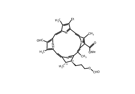 CCC1=C(C)c2cc3[nH]c(cc4nc(c(C)c5[nH]c(cc1n2)c(C)c5C(=O)OC)[C@@H](CCCOC=O)[C@@H]4C)c(C)c3C=O